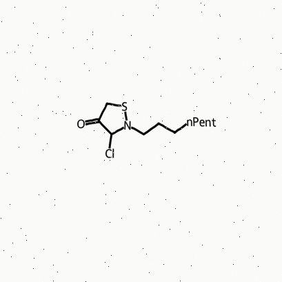 CCCCCCCCN1SCC(=O)C1Cl